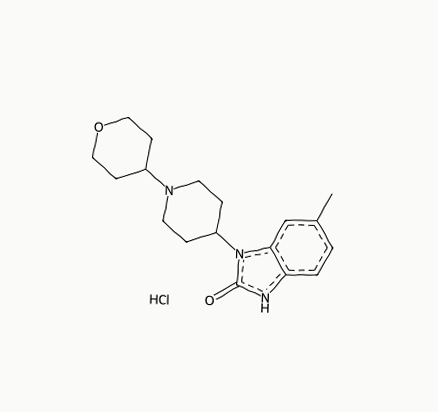 Cc1ccc2[nH]c(=O)n(C3CCN(C4CCOCC4)CC3)c2c1.Cl